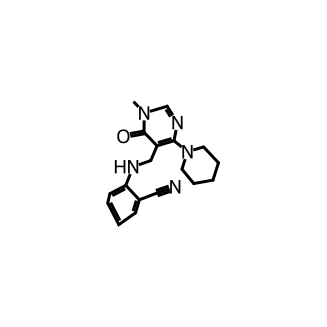 Cn1cnc(N2CCCCC2)c(CNc2ccccc2C#N)c1=O